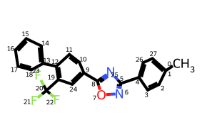 Cc1ccc(-c2noc(-c3ccc(-c4ccccc4)c(C(F)(F)F)c3)n2)cc1